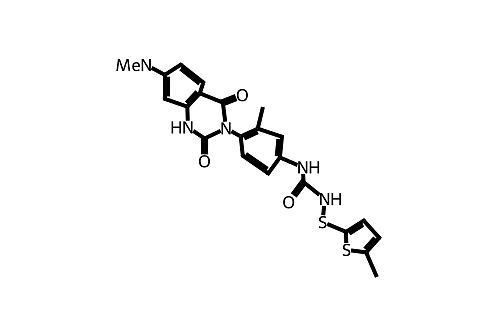 CNc1ccc2c(=O)n(-c3ccc(NC(=O)NSc4ccc(C)s4)cc3C)c(=O)[nH]c2c1